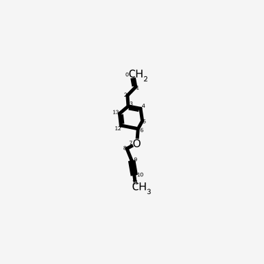 C=CCC1=CCC(OCC#CC)C=C1